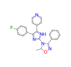 CC1ON=C(c2ccccc2)N1c1nc(-c2ccc(F)cc2)c(-c2ccncc2)[nH]1